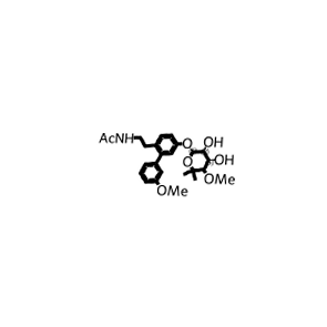 COc1cccc(-c2cc(O[C@H]3OC(C)(C)C(OC)[C@@H](O)[C@H]3O)ccc2CCNC(C)=O)c1